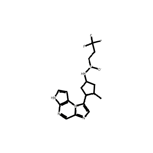 CC1CC(N[S+]([O-])CCC(F)(F)F)CC1c1cnc2cnc3[nH]ccc3n12